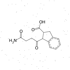 NC(=O)CCC(=O)C1c2ccccc2CC1C(=O)O